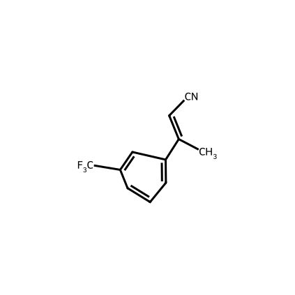 CC(=CC#N)c1cccc(C(F)(F)F)c1